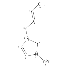 CC=CCN1C=CN(CCC)C1